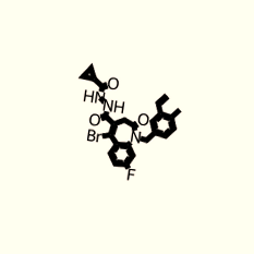 C=Cc1cc(CN2C(=O)CC(C(=O)NNC(=O)C3CC3)=C(Br)c3ccc(F)cc32)ccc1C